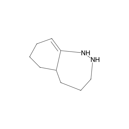 C1=C2NNCCCC2CCC1